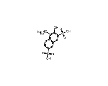 O=S(=O)(O)c1ccc2c(O)c(O)c(S(=O)(=O)O)cc2c1.[Na].[Na]